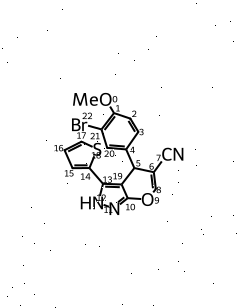 COc1ccc(C2C(C#N)=COc3n[nH]c(-c4cccs4)c32)cc1Br